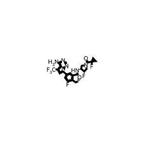 Nc1ncnn2c(-c3cc(F)c(CF)c(C(=O)N[C@@H]4CN(C(=O)C5(F)CC5)C[C@@H]4F)c3)cc(C(F)(F)F)c12